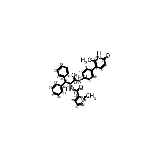 Cc1[nH]c(=O)ccc1-c1ccc(NC(=O)[C@@H](NC(=O)c2ccnn2C)C(c2ccccc2)c2ccccc2)cc1